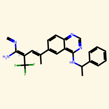 C=N/C(N)=C(\C=C(/C)c1ccc2ncnc(NC(C)c3ccccc3)c2c1)C(F)(F)F